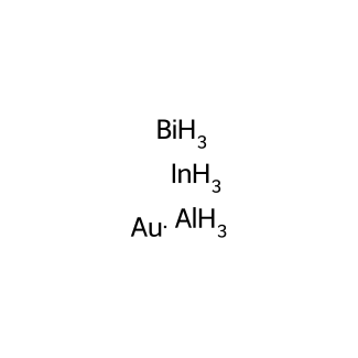 [AlH3].[Au].[BiH3].[InH3]